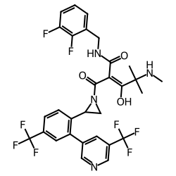 CNC(C)(C)/C(O)=C(\C(=O)NCc1cccc(F)c1F)C(=O)N1CC1c1ccc(C(F)(F)F)cc1-c1cncc(C(F)(F)F)c1